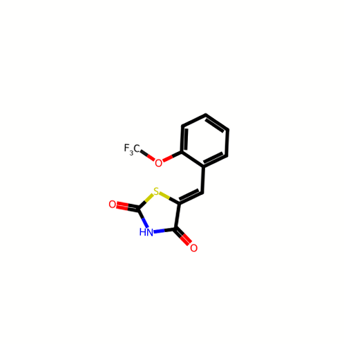 O=C1NC(=O)C(=Cc2ccccc2OC(F)(F)F)S1